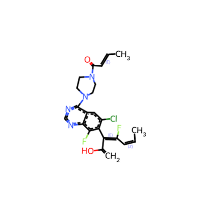 C=C(O)/C(=C(F)\C=C/C)c1c(Cl)cc2c(N3CCN(C(=O)/C=C/C)CC3)ncnc2c1F